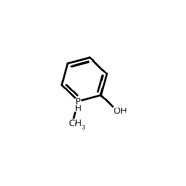 C[PH]1=CC=CC=C1O